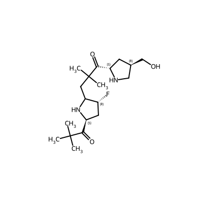 CC(C)(C)C(=O)[C@@H]1C[C@@H](F)C(CC(C)(C)C(=O)[C@@H]2C[C@@H](CO)CN2)N1